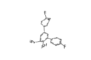 CC(C)c1cc(-c2ccc(F)cc2)cc(-c2ccc(F)cc2)c1S